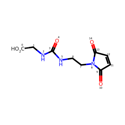 O=C(O)CNC(=O)NCCN1C(=O)C=CC1=O